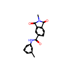 Cc1cccc(NC(=O)c2ccc3c(c2)C(=O)N(C)C3=O)c1